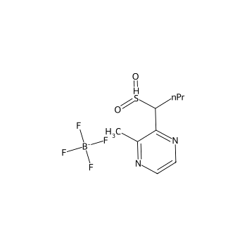 CCCC(c1nccnc1C)[SH](=O)=O.F[B-](F)(F)F